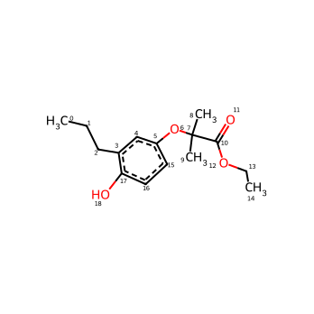 CCCc1cc(OC(C)(C)C(=O)OCC)ccc1O